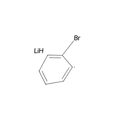 Brc1[c]cccc1.[LiH]